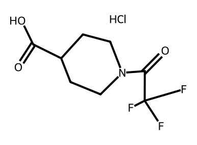 Cl.O=C(O)C1CCN(C(=O)C(F)(F)F)CC1